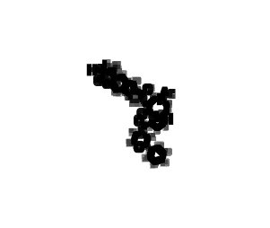 CC(=O)N1CC[C@H]2CC[C@@H](C(=O)N3CCO[C@@H](c4ccccc4)C3)N2C(=O)[C@@H](NC(=O)c2cc3cc(C(F)(F)P(=O)(O)O)ccc3s2)C1